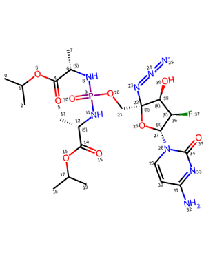 CC(C)OC(=O)[C@H](C)NP(=O)(N[C@@H](C)C(=O)OC(C)C)OC[C@@]1(N=[N+]=[N-])O[C@@H](n2ccc(N)nc2=O)[C@H](F)[C@@H]1O